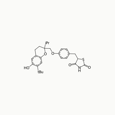 CC(C)C1(COc2ccc(CC3SC(=O)NC3=O)cc2)CCc2cc(O)c(C(C)(C)C)cc2O1